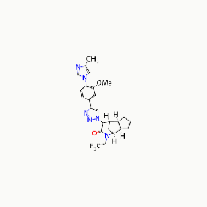 COc1cc(-c2cn(C3C(=O)N(CC(F)(F)F)[C@H]4C[C@@H]3[C@H]3CCC[C@H]34)nn2)ccc1-n1cnc(C)c1